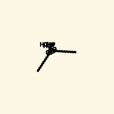 CCCCCCCC/C=C/CCCCCCCC(=O)Oc1ccc(C(O)CNC(C)(C)C)cc1OC(=O)CCCCCCC/C=C/CCCCCCCC.Cl